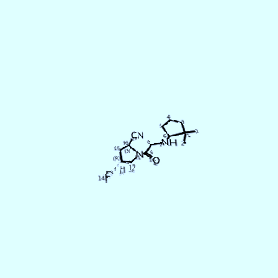 CC1(C)CCCC1NCC(=O)N1C[C@H](F)C[C@H]1C#N